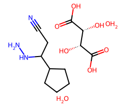 N#CCC(NN)C1CCCC1.O.O.O=C(O)[C@H](O)[C@@H](O)C(=O)O